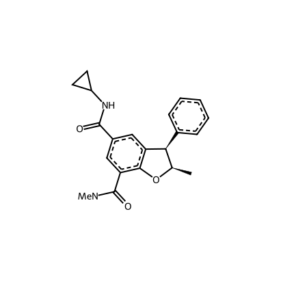 CNC(=O)c1cc(C(=O)NC2CC2)cc2c1O[C@H](C)[C@@H]2c1ccccc1